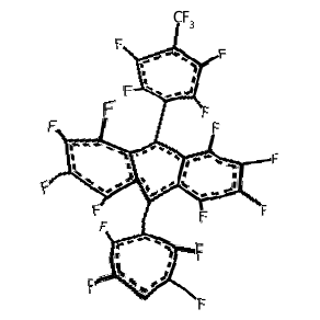 Fc1cc(F)c(F)c(-c2c3c(F)c(F)c(F)c(F)c3c(-c3c(F)c(F)c(C(F)(F)F)c(F)c3F)c3c(F)c(F)c(F)c(F)c23)c1F